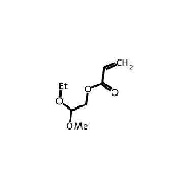 C=CC(=O)OCC(OC)OCC